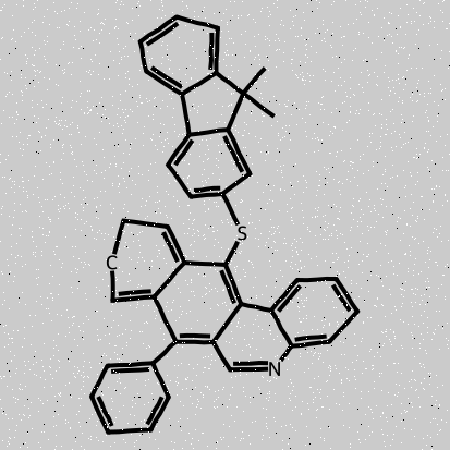 CC1(C)c2ccccc2-c2ccc(Sc3c4c(c(-c5ccccc5)c5cnc6ccccc6c35)=CCCC=4)cc21